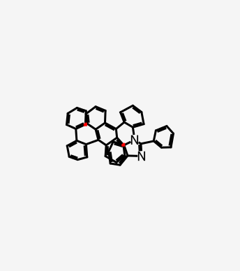 c1ccc(-c2ccccc2-c2c3ccccc3c(-c3ccccc3-n3c(-c4ccccc4)nc4ccccc43)c3ccccc23)cc1